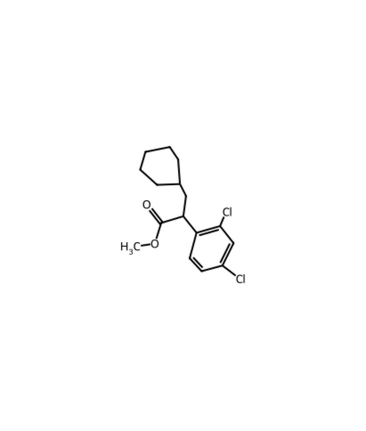 COC(=O)C(CC1CCCCC1)c1ccc(Cl)cc1Cl